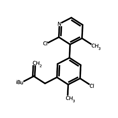 C=C(Cc1cc(-c2c(C)ccnc2Cl)cc(Cl)c1C)C(C)CC